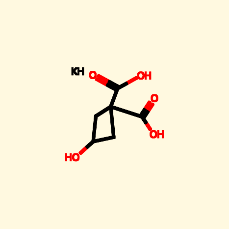 O=C(O)C1(C(=O)O)CC(O)C1.[KH]